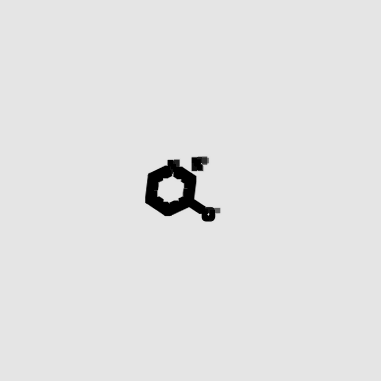 [K+].[O-]c1cccnc1